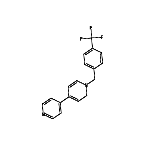 FC(F)(F)c1ccc(CN2C=CC(c3ccncc3)=CC2)cc1